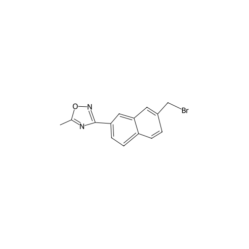 Cc1nc(-c2ccc3ccc(CBr)cc3c2)no1